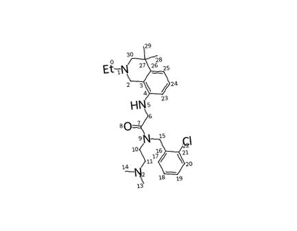 CCN1Cc2c(NCC(=O)N(CCN(C)C)Cc3ccccc3Cl)cccc2C(C)(C)C1